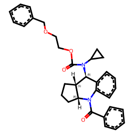 O=C(c1ccccc1)N1c2ccccc2[C@H](N(C(=O)OCCOCc2ccccc2)C2CC2)[C@H]2CCC[C@H]21